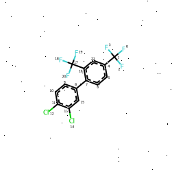 FC(F)(F)c1c[c]c(-c2ccc(Cl)c(Cl)c2)c(C(F)(F)F)c1